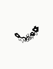 Cc1ccc(Oc2ccc(N(O)C(=O)C(CCc3ccccc3)C(N)=O)cc2)cc1